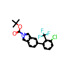 CC(C)(C)OC(=O)n1cc2ccc(-c3cccc(Cl)c3C(F)(F)F)cc2c1